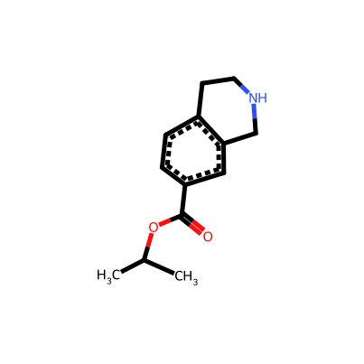 CC(C)OC(=O)c1ccc2c(c1)CNCC2